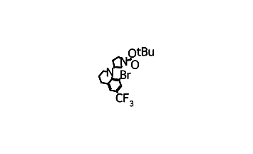 CC(C)(C)OC(=O)N1CCC(N2CCCc3cc(C(F)(F)F)cc(Br)c32)C1